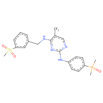 CP(C)(=O)c1ccc(Nc2ncc(C(F)(F)F)c(NCc3cccc(S(C)(=O)=O)c3)n2)cc1